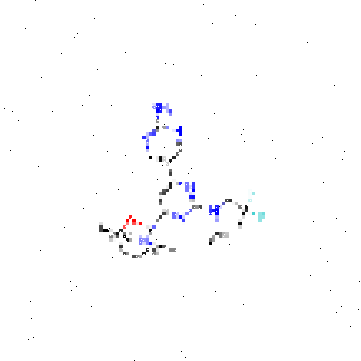 C[C@@H]1CC(F)(F)CN1c1nc(-c2cnc(N)nc2)cc(N2C[C@@H]3CC[C@H]2CO3)n1